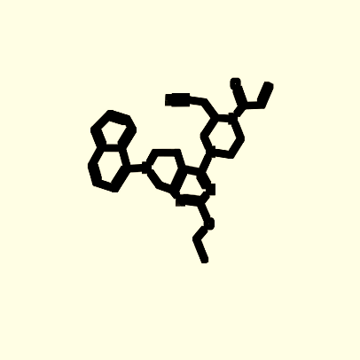 C=CC(=O)N1CCN(c2nc(OCC)nc3c2CCN(c2cccc4ccccc24)C3)CC1CC#N